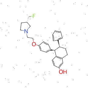 Oc1ccc2c(c1)CC[C@H](c1ccccc1)[C@@H]2c1ccc(OCCN2CC[C@H](CF)C2)cc1